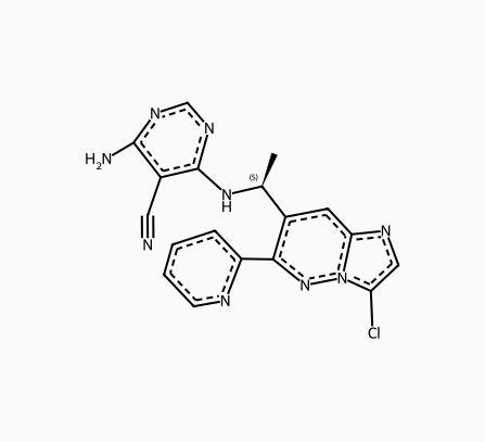 C[C@H](Nc1ncnc(N)c1C#N)c1cc2ncc(Cl)n2nc1-c1ccccn1